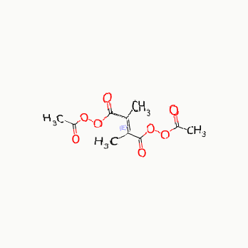 CC(=O)OOC(=O)/C(C)=C(\C)C(=O)OOC(C)=O